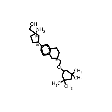 CC1(C)CC(OC[C@@H]2CCc3cc([C@H]4CC[C@](N)(CO)C4)ccc3C2)CC(C)(C)C1